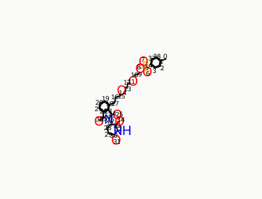 Cc1ccc(S(=O)(=O)OCCOCCOCCCc2cccc3c2C(=O)N(C2CCC(=O)NC2=O)C3=O)cc1